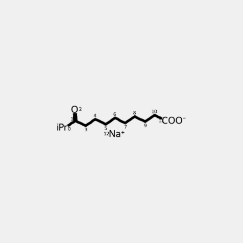 CC(C)C(=O)CCCCCCCCC(=O)[O-].[Na+]